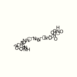 CC1(Oc2ccc3[nH]nc(-c4cc(N5CCC(CN6CC7(CCN7CC7CCN(c8ccc9c(c8)C(=O)N(C8CCC(=O)NC8=O)C9=O)CC7)C6)CC5)ncn4)c3c2)CC1